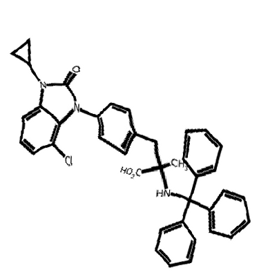 CC(Cc1ccc(-n2c(=O)n(C3CC3)c3cccc(Cl)c32)cc1)(NC(c1ccccc1)(c1ccccc1)c1ccccc1)C(=O)O